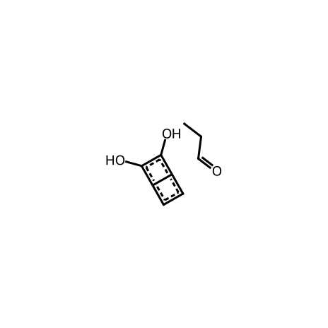 CCC=O.Oc1c2ccc-2c1O